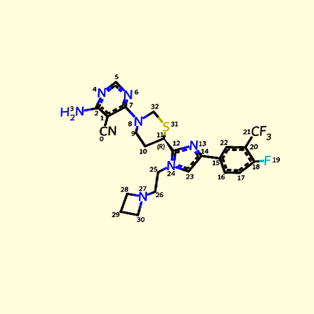 N#Cc1c(N)ncnc1N1CC[C@H](c2nc(-c3ccc(F)c(C(F)(F)F)c3)cn2CCN2CCC2)SC1